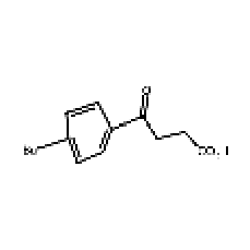 CCC(C)c1ccc(C(=O)CCC(=O)O)cc1